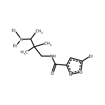 CCc1cc(C(=O)NCC(C)(C)C(C)N(CC)CC)no1